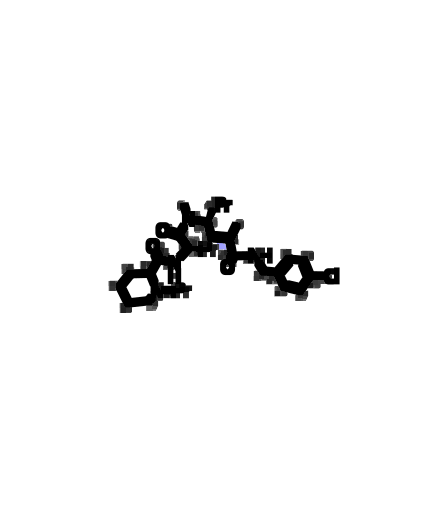 C/C(=C\[C@H](C(C)C)N(C)C(=O)[C@@H](NC(=O)C1CCCCN1C(C)C)C(C)C)C(=O)NCc1ccc(Cl)cc1